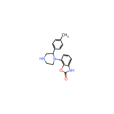 Cc1ccc(C2CNCCN2c2cccc3[nH]c(=O)oc23)cc1